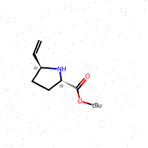 C=C[C@@H]1CC[C@@H](C(=O)OC(C)(C)C)N1